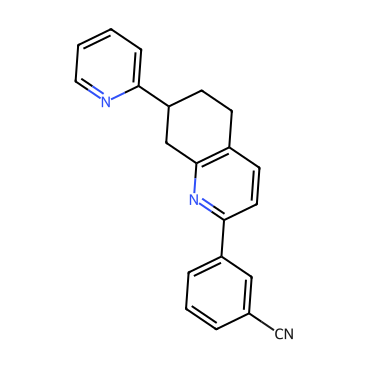 N#Cc1cccc(-c2ccc3c(n2)CC(c2ccccn2)CC3)c1